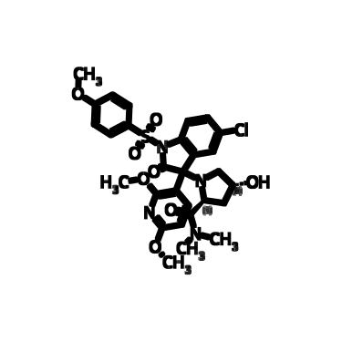 COc1ccc(S(=O)(=O)N2C(=O)C(c3ccc(OC)nc3OC)(N3C[C@H](O)C[C@H]3C(=O)N(C)C)c3cc(Cl)ccc32)cc1